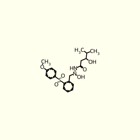 COc1ccc(S(=O)(=O)c2ccccc2CN(O)NC(=O)CC(O)C(C)C)cc1